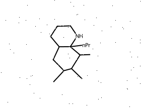 CCCC12NCCCC1CC(C)C(C)C2C